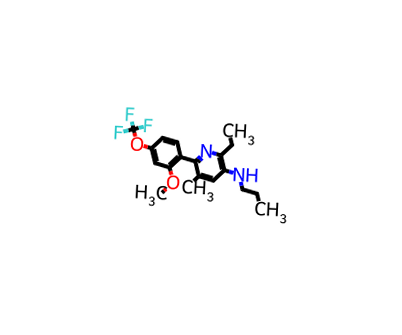 CCCNc1cc(C)c(-c2ccc(OC(F)(F)F)cc2OC)nc1CC